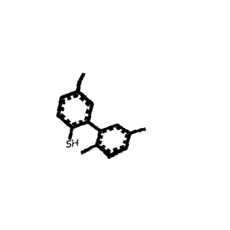 Cc1ccc(C)c(-c2cc(C)ccc2S)c1